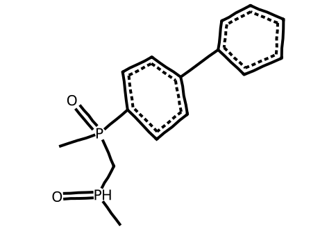 C[PH](=O)CP(C)(=O)c1ccc(-c2ccccc2)cc1